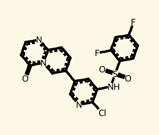 O=c1ccnc2ccc(-c3cnc(Cl)c(NS(=O)(=O)c4ccc(F)cc4F)c3)cn12